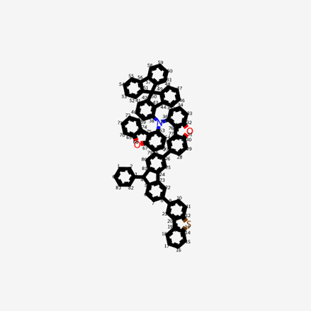 c1ccc(C2c3ccc(-c4ccc5sc6ccccc6c5c4)cc3-c3cc(-c4ccc5oc6cccc(N(c7cccc8c7-c7ccccc7C87c8ccccc8-c8ccccc87)c7cccc8oc9ccccc9c78)c6c5c4)ccc32)cc1